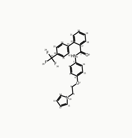 O=C(Nc1ccc(OCCn2cccc2)cc1)c1ccccc1-c1ccc(C(F)(F)F)cc1